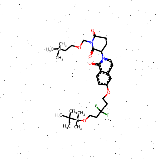 CC(C)(C)[Si](C)(C)OCCC(F)(F)CCOc1ccc2c(=O)n(C3CCC(=O)N(COCC[Si](C)(C)C)C3=O)ccc2c1